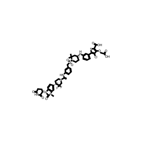 C=C(Nc1cccc(CS(=O)(=O)N2CC[C@H](Nc3cccc(-c4sc(C(=O)O)c(OCC(=O)O)c4Cl)c3)CC2(C)C)c1)N1CC[C@@H](c2ccc3c(c2)n(C)c(=O)n3[C@H]2CCC(=O)NC2=O)C(F)(F)C1